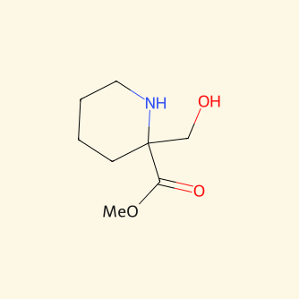 COC(=O)C1(CO)CCCCN1